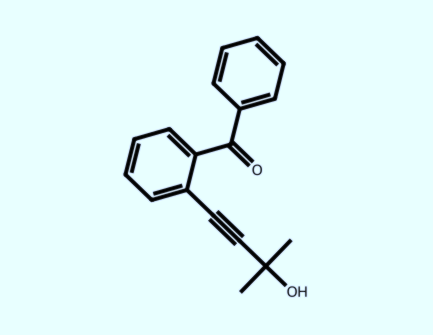 CC(C)(O)C#Cc1ccccc1C(=O)c1ccccc1